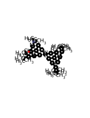 C=C/C=C(\C=C(C)C)c1ccc(-c2ccccc2-c2cc(-c3ccccc3C3=CCC(c4ccnc(-c5ccc(-c6ccccc6-c6cc(-c7ccccc7-c7ccc(-c8ccc9c(c8)C(C)(C)C(C)(C)C9(C)C)nc7)cc(-c7ccccc7-c7ccc(-c8ccc9c(c8)C(C)(C)C(C)(CC)C9(C)C)nc7)c6)cc5)n4)C=C3)cc(-c3ccccc3-c3ccc(-c4ccc(CC(C)(C)C)c(C(C)(C)C(C)C)c4)nc3)c2)cn1